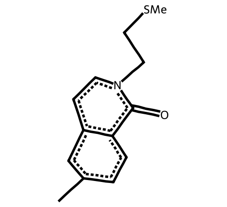 CSCCn1ccc2cc(C)ccc2c1=O